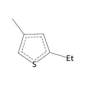 [CH2]Cc1cc(C)cs1